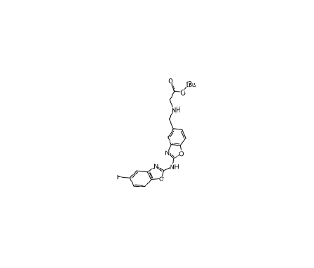 CC(C)(C)OC(=O)CNCc1ccc2oc(Nc3nc4cc(F)ccc4o3)nc2c1